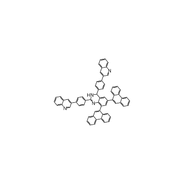 c1ccc2ncc(-c3ccc(C4=Nc5c(-c6cc7ccccc7c7ccccc67)cc(-c6cc7ccccc7c7ccccc67)cc5C(c5ccc(-c6cnc7ccccc7c6)cc5)N4)cc3)cc2c1